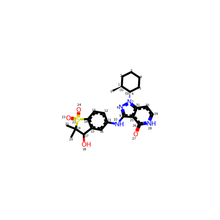 C[C@H]1CCCC[C@@H]1n1nc(Nc2ccc3c(c2)C(O)C(C)(C)S3(=O)=O)c2c(=O)[nH]ccc21